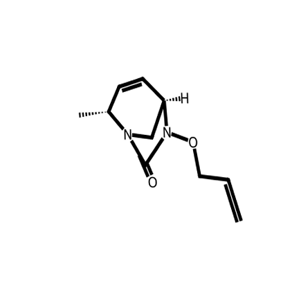 C=CCON1C(=O)N2C[C@H]1C=C[C@H]2C